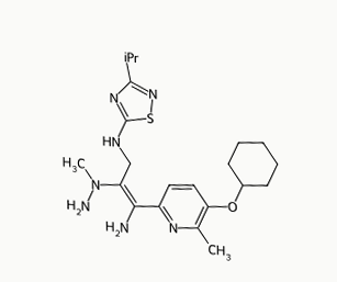 Cc1nc(/C(N)=C(\CNc2nc(C(C)C)ns2)N(C)N)ccc1OC1CCCCC1